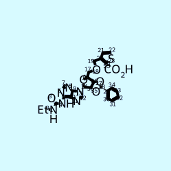 CCNC(=O)Nc1ncnc2c1ncn2C1OC(COCc2ccsc2C(=O)O)C2O[C@H](c3ccccc3)OC21